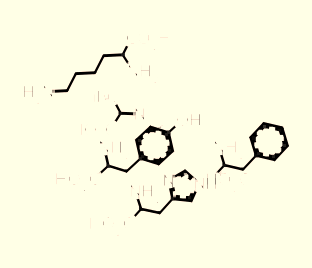 CCC(C)C(N)C(=O)O.NC(Cc1c[nH]cn1)C(=O)O.NC(Cc1ccc(O)cc1)C(=O)O.NC(Cc1ccccc1)C(=O)O.NCCCCC(N)C(=O)O